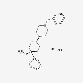 Cl.Cl.NC[C@]1(c2ccccc2)CC[C@H](N2CCN(Cc3ccccc3)CC2)CC1